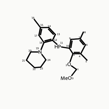 COCOc1c(C)cc(C)cc1Pc1ccc(C)cc1N1CCCCC1